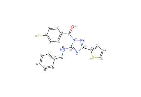 O=C(c1ccc(F)cc1)n1nc(-c2cccs2)nc1NCc1ccccc1